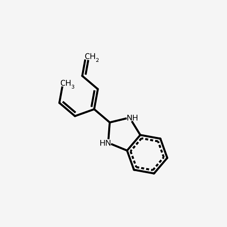 C=C/C=C(\C=C/C)C1Nc2ccccc2N1